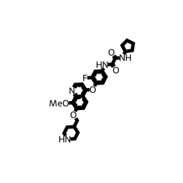 COc1c(OCC2CCNCC2)ccc2c(Oc3ccc(NC(=O)C(=O)NC4CCCC4)cc3F)ccnc12